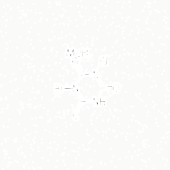 O=c1[nH]c(=O)n(Br)c(=O)n1Cl.[MgH2]